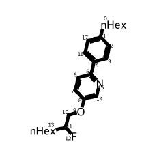 CCCCCCc1ccc(-c2ccc(OCC(F)CCCCCC)cn2)cc1